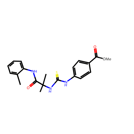 COC(=O)c1ccc(NC(=S)NC(C)(C)C(=O)Nc2ccccc2C)cc1